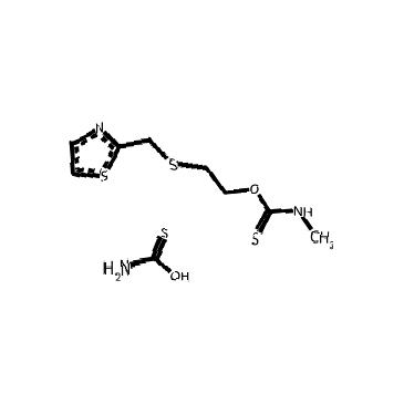 CNC(=S)OCCSCc1nccs1.NC(O)=S